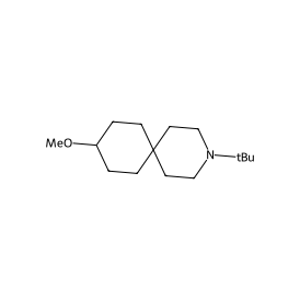 COC1CCC2(CC1)CCN(C(C)(C)C)CC2